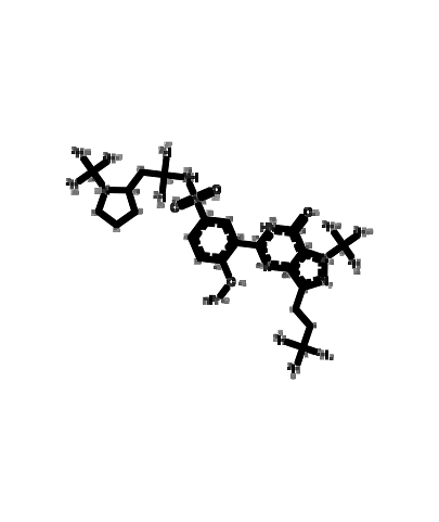 [2H]C([2H])([2H])CCc1nn(C([2H])([2H])[2H])c2c(=O)[nH]c(-c3cc(S(=O)(=O)NC([2H])([2H])CC4CCCN4C([2H])([2H])[2H])ccc3OCCC)nc12